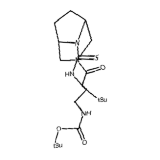 CC(C)(C)CC(=O)N1CC2CCC(C1)N2C(=S)NCCNC(=O)OC(C)(C)C